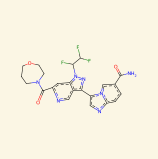 NC(=O)c1ccc2ncc(-c3nn(C(F)C(F)F)c4cc(C(=O)N5CCCOCC5)ncc34)n2c1